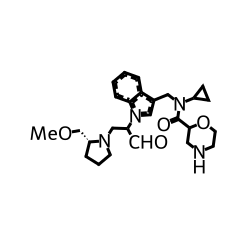 COC[C@H]1CCCN1CC(C=O)n1cc(CN(C(=O)C2CNCCO2)C2CC2)c2ccccc21